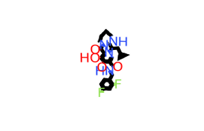 O=C(NCc1ccc(F)cc1F)c1cn2c(c(O)c1=O)C(=O)N1CCCCNC1C2CC1CC1